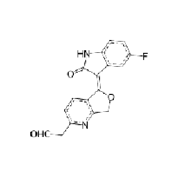 O=CCc1ccc2c(n1)CO/C2=C1/C(=O)Nc2ccc(F)cc21